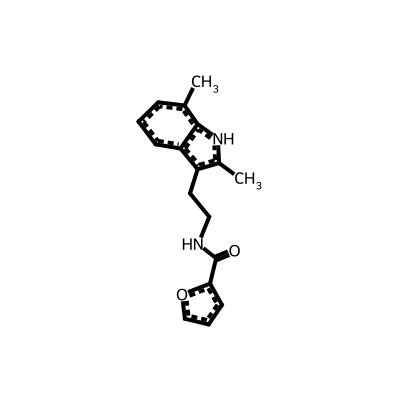 Cc1[nH]c2c(C)cccc2c1CCNC(=O)c1ccco1